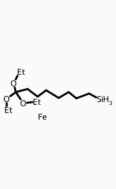 CCOC(CCCCCCC[SiH3])(OCC)OCC.[Fe]